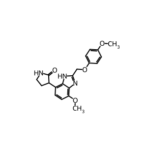 COc1ccc(OCc2nc3c(OC)ccc(C4CCNC4=O)c3[nH]2)cc1